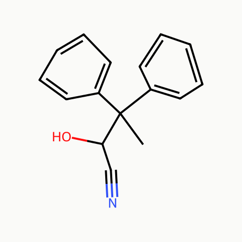 CC(c1ccccc1)(c1ccccc1)C(O)C#N